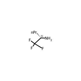 CCC[C@H](N)C(F)(F)F